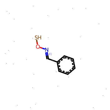 SO/N=C/c1ccccc1